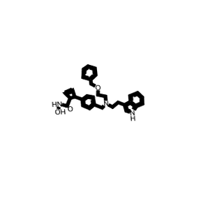 O=C(NO)C1C#CC1c1ccc(CN(CCOCc2ccccc2)CCc2c[nH]c3ccccc23)cc1